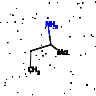 CC[CH](N)[Mo]